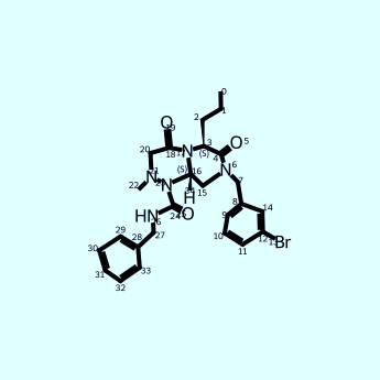 CCC[C@H]1C(=O)N(Cc2cccc(Br)c2)C[C@H]2N1C(=O)CN(C)N2C(=O)NCc1ccccc1